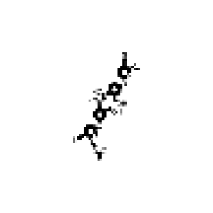 COc1nc(Oc2ccc(B(O)OB(O)c3ccc(Oc4ccc(C#N)c(OCOC(C)=O)n4)cc3CO)c(CO)c2)ccc1C#N